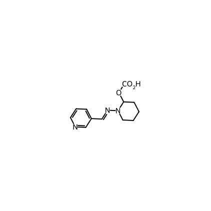 O=C(O)OC1CCCCN1/N=C/c1cccnc1